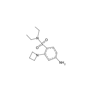 CCN(CC)S(=O)(=O)c1ccc(N)cc1N1CCC1